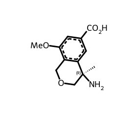 COc1cc(C(=O)O)cc2c1COC[C@]2(C)N